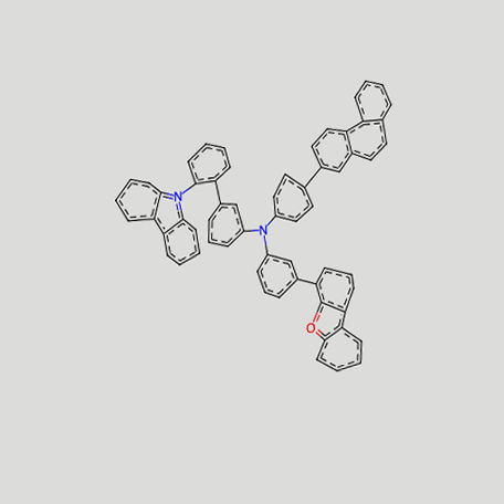 c1cc(-c2ccccc2-n2c3ccccc3c3ccccc32)cc(N(c2ccc(-c3ccc4c(ccc5ccccc54)c3)cc2)c2cccc(-c3cccc4c3oc3ccccc34)c2)c1